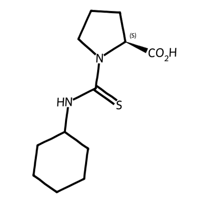 O=C(O)[C@@H]1CCCN1C(=S)NC1CCCCC1